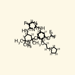 CC1(C)CC(Nc2nc(Nc3ccc(OCCN4CCCC4)c(OC(F)F)c3)ncc2F)CC(C)(C)N1